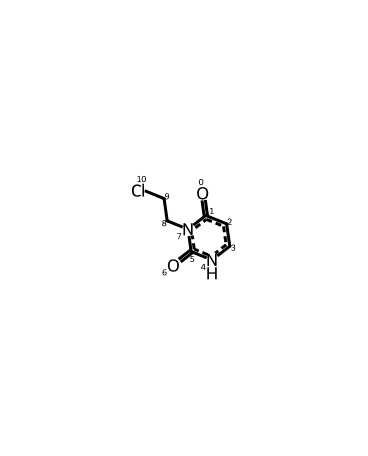 O=c1cc[nH]c(=O)n1CCCl